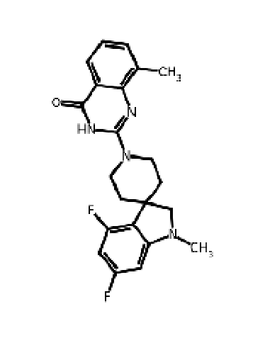 Cc1cccc2c(=O)[nH]c(N3CCC4(CC3)CN(C)c3cc(F)cc(F)c34)nc12